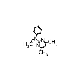 CCN(c1cc[c]cc1)c1nc(C)cc(C)n1